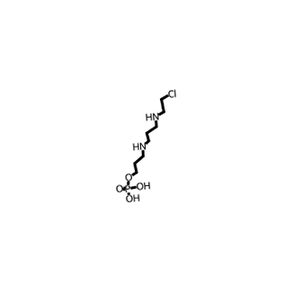 O=P(O)(O)OCCCNCCCNCCCl